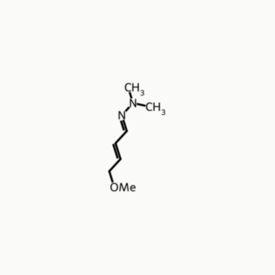 COCC=CC=NN(C)C